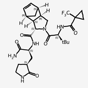 CC(C)(C)[C@H](NC(=O)C1(C(F)(F)F)CC1)C(=O)N1C[C@H]2[C@@H]([C@H]1C(=O)N[C@@H](C[C@@H]1CCNC1=O)C(N)=O)[C@H]1C=C[C@@H]2C1